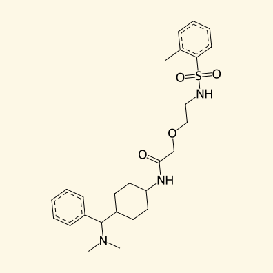 Cc1ccccc1S(=O)(=O)NCCOCC(=O)NC1CCC(C(c2ccccc2)N(C)C)CC1